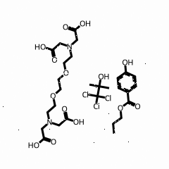 CC(C)(O)C(Cl)(Cl)Cl.CCCOC(=O)c1ccc(O)cc1.O=C(O)CN(CCOCCOCCN(CC(=O)O)CC(=O)O)CC(=O)O